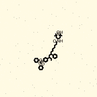 CCC(CC(C/C=C/CCCC(=O)NC1CC(C)(C)N(O)C(C)(C)C1)c1ccccc1)c1ccc(P(=O)(Oc2ccccc2)Oc2ccccc2)cc1